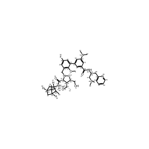 COc1c(CN2O[C@@H](CO)[C@@H]([C@H](C)O)[C@H]2C(=O)N[C@H]2C[C@H]3C[C@@H]([C@@H]2C)C3(C)C)cc(F)cc1-c1cc(C(=O)N[C@@H](Cc2ccccn2)CN(C)C)cc(N(C)C)c1